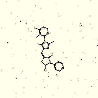 Cc1c(I)cccc1-n1c(C)cc(C=C2SC(=O)N(c3ccccc3)C2=O)c1C